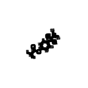 C=C(C)C(=O)Oc1ccc(S(=O)(=O)N(C)C)cc1